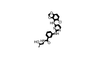 C[C@@H](O)CNC(=O)c1cccc(Nc2nccc(Nc3c(Cl)ccc4c3OCO4)n2)c1